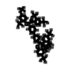 CC(C)(C)Cc1ccc(OP(Oc2ccc(C(C)(C)C)cc2C(C)(C)C)c2ccc(-c3ccc(P(OC4=CC=C(C(C)(C)C)CC4(C)C(C)(C)C)Oc4ccc(C(C)(C)C)cc4C(C)(C)C)cc3)cc2)c(C(C)(C)C)c1